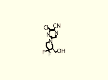 N#Cc1ncc(N2CCC(F)(F)[C@H](CO)C2)nc1Cl